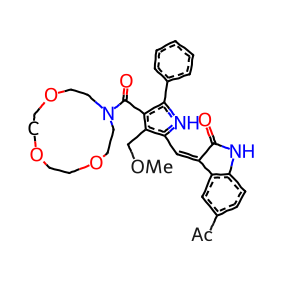 COCc1c(/C=C2\C(=O)Nc3ccc(C(C)=O)cc32)[nH]c(-c2ccccc2)c1C(=O)N1CCOCCOCCOCC1